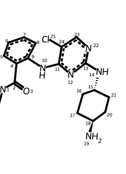 CNC(=O)c1ccccc1Nc1nc(N[C@H]2CC[C@H](N)CC2)ncc1Cl